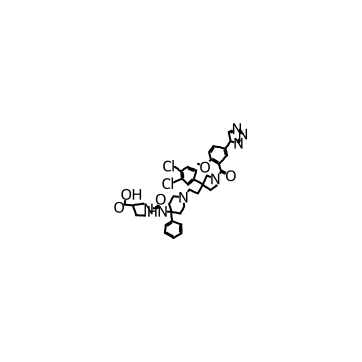 COc1ccc(C2C=NN=N2)cc1C(=O)N1CCC(CCN2CCC(NC(=O)N3CCC(C(=O)O)C3)(c3ccccc3)CC2)(c2ccc(Cl)c(Cl)c2)C1